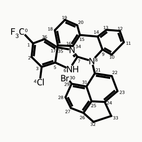 FC(F)(F)c1cc(Cl)c2[nH]c(N(c3ccccc3-c3ccccc3)c3ccc4c5c(ccc(Br)c35)CC4)nc2c1